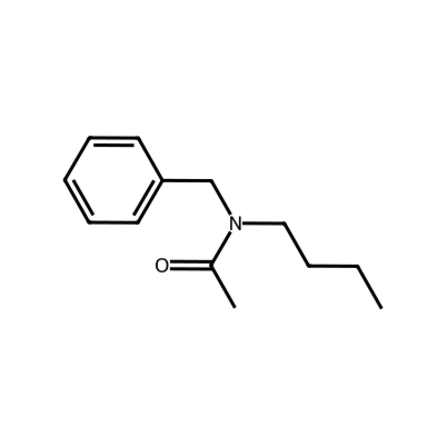 CCCCN(Cc1ccccc1)C(C)=O